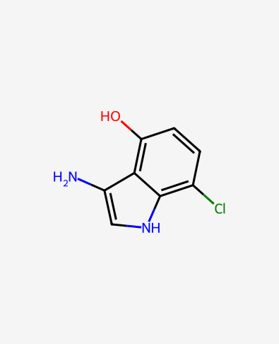 Nc1c[nH]c2c(Cl)ccc(O)c12